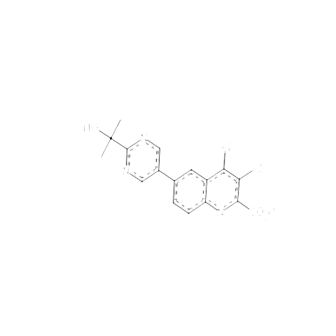 CC(C)(O)c1ncc(-c2ccc3nc(C(=O)O)c(Cl)c(Cl)c3c2)cn1